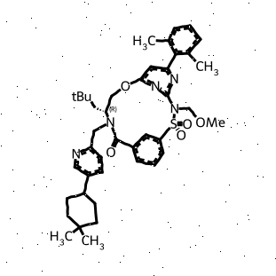 COCN1c2nc(cc(-c3c(C)cccc3C)n2)OC[C@@H](CC(C)(C)C)N(Cc2ccc(C3CCC(C)(C)CC3)cn2)C(=O)c2cccc(c2)S1(=O)=O